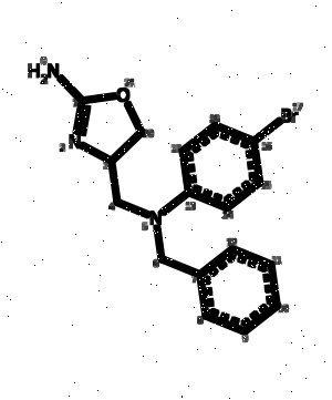 NC1=NC(CN(Cc2ccccc2)c2ccc(Br)cc2)CO1